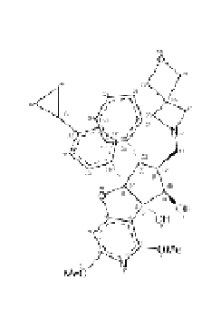 COc1cc2c(c(OC)n1)[C@]1(O)[C@H](O)[C@H](CN3CC4(COC4)C3)[C@@H](c3ccccc3)[C@]1(c1ccc(C3CC3)cc1)O2